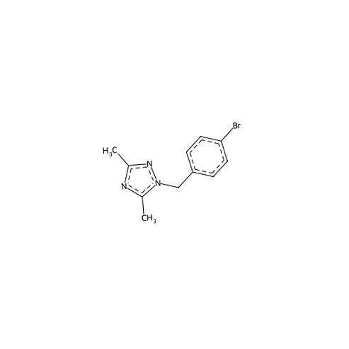 Cc1nc(C)n(Cc2ccc(Br)cc2)n1